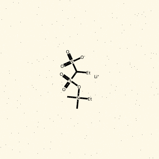 CCC(S(=O)(=O)[O-])S(=O)(=O)O[Si](C)(C)CC.[Li+]